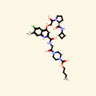 CCCCOC(=O)N1CCN(C(=O)CNC(=O)c2cc(OCC(=O)N3CCC[C@H]3C(=O)NC3CCC3)c3cc(Cl)c(C)cc3n2)CC1